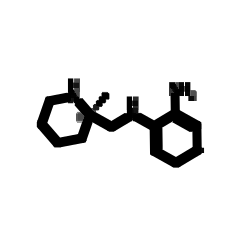 C[C@]1(CNC2=CC[CH]C=C2N)CCCCN1